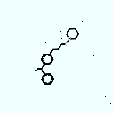 O=C(c1ccccc1)c1ccc(CCCON2CCCCC2)cc1